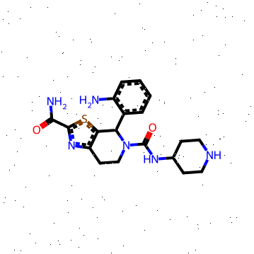 NC(=O)c1nc2c(s1)C(c1ccccc1N)N(C(=O)NC1CCNCC1)CC2